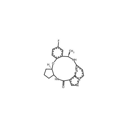 C[C@H]1Nc2ccn3ncc(c3n2)C(=O)NC2CCC[C@H]2Oc2ccc(F)cc21